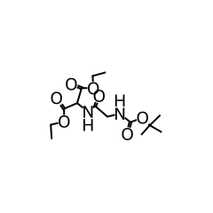 CCOC(=O)C(NC(=O)CNC(=O)OC(C)(C)C)C(=O)OCC